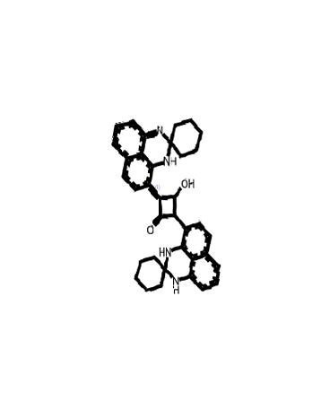 O=C1/C(=c2\ccc3cccc4c3c2NC2(CCCCC2)N=4)C(O)C1c1ccc2cccc3c2c1NC1(CCCCC1)N3